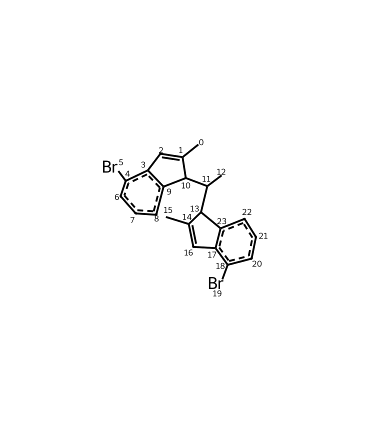 CC1=Cc2c(Br)cccc2C1C(C)C1C(C)=Cc2c(Br)cccc21